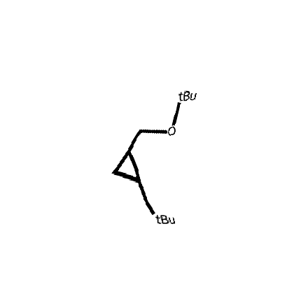 CC(C)(C)OCC1CC1C(C)(C)C